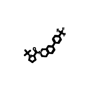 CC(C)(C)N1CCCC1C(=O)N1CCc2ccc(-c3ccc(C(F)(F)F)cc3)cc2C1